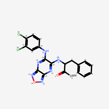 COC(=O)C(Cc1ccccc1)Nc1nc2nonc2nc1Nc1ccc(Cl)c(Cl)c1